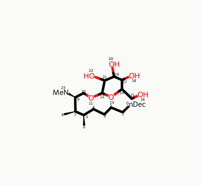 CCCCCCCCCCCCCC[C@@H](C)[C@@H](C)[C@H](COC1OC(CO)C(O)C(O)C1O)NC